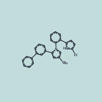 CCc1ccc(-c2ccccc2-n2cc(C(C)(C)C)cc2-c2cccc(-c3ccccc3)c2)[nH]1